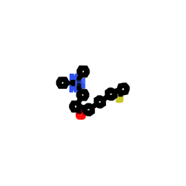 c1ccc(-c2nc(-c3ccccc3)nc(-c3cccc(-c4cccc5oc6ccc(-c7ccc(-c8ccc9c(c8)sc8ccccc89)cc7)cc6c45)c3)n2)cc1